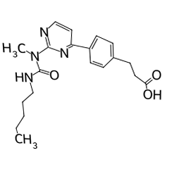 CCCCCNC(=O)N(C)c1nccc(-c2ccc(CCC(=O)O)cc2)n1